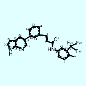 Cc1ccc(NC(=O)C=Cc2cccc(-c3cnc4[nH]ccc4c3)c2)cc1C(F)(F)F